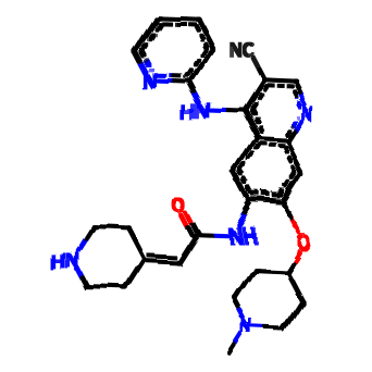 CN1CCC(Oc2cc3ncc(C#N)c(Nc4ccccn4)c3cc2NC(=O)C=C2CCNCC2)CC1